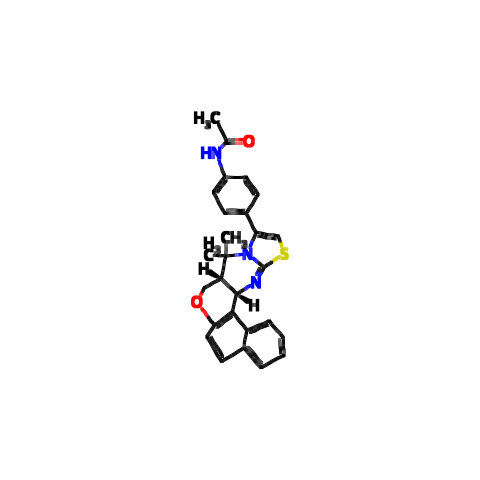 CC(=O)Nc1ccc(C2=CSC3=N[C@@H]4c5c(ccc6ccccc56)OC[C@@H]4C(C)(C)N23)cc1